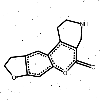 O=c1oc2cc3c(cc2c2c1CNCC2)CCO3